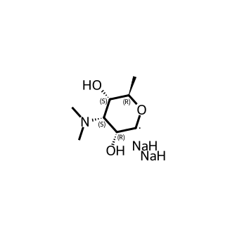 C[C@H]1O[CH][C@H](O)[C@H](N(C)C)[C@@H]1O.[NaH].[NaH]